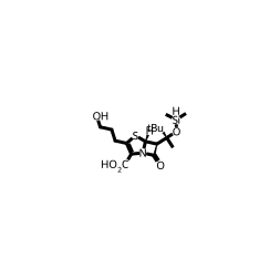 C[SiH](C)O[C@](C)([C@H]1C(=O)N2C(C(=O)O)=C(CCCO)S[C@H]12)C(C)(C)C